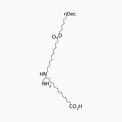 CCCCCCCCCCCCCCCCOC(=O)CCCCCCCCCCCNC(CN)CCCCCCCCCCCC(=O)O